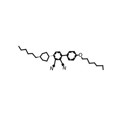 CCCCCCCOc1ccc(-c2ccc([C@H]3CC[C@H](CCCCCC)CC3)c(C#N)c2C#N)cc1